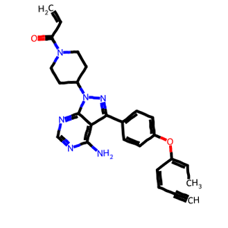 C#C/C=C\C(=C/C)Oc1ccc(-c2nn(C3CCN(C(=O)C=C)CC3)c3ncnc(N)c23)cc1